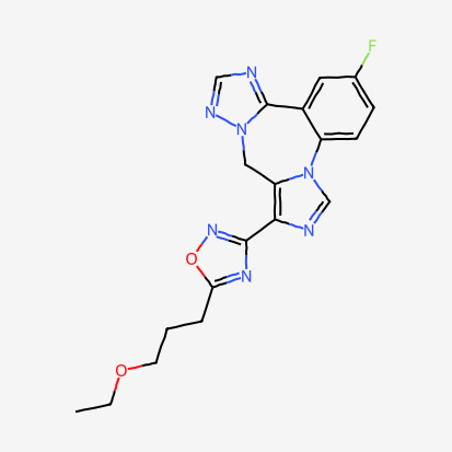 CCOCCCc1nc(-c2ncn3c2Cn2ncnc2-c2cc(F)ccc2-3)no1